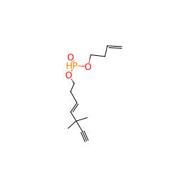 C#CC(C)(C)C=CCCO[PH](=O)OCCC=C